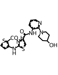 O=C(Nc1cccnc1N1CCC(O)CC1)c1csc(Nc2ccsc2C(=O)O)n1